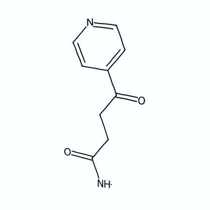 [NH]C(=O)CCC(=O)c1ccncc1